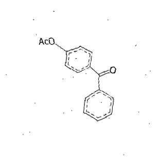 CC(=O)Oc1ccc(C(=O)c2ccccc2)cc1